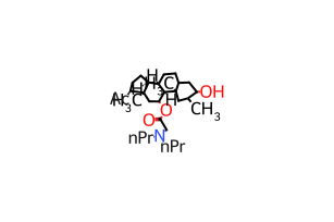 CCCN(CCC)CC(=O)OC1C[C@]2(C)[C@@H](C(C)=O)CC[C@H]2[C@@H]2CCC3CC(O)C(C)C[C@]3(C)[C@@H]12